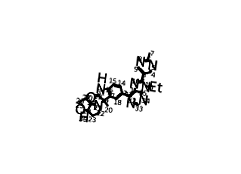 CCn1c(-c2cnc(C)nc2)nc2c(-c3ccc4c(c3)C(C)(N3CC[C@H]5OCCC53)C(=O)N4)ncnc21